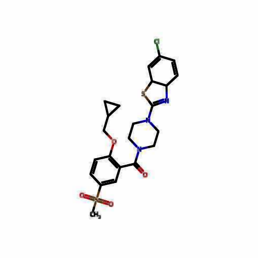 CS(=O)(=O)c1ccc(OCC2CC2)c(C(=O)N2CCN(C3=NC4C=CC(Cl)=CC4S3)CC2)c1